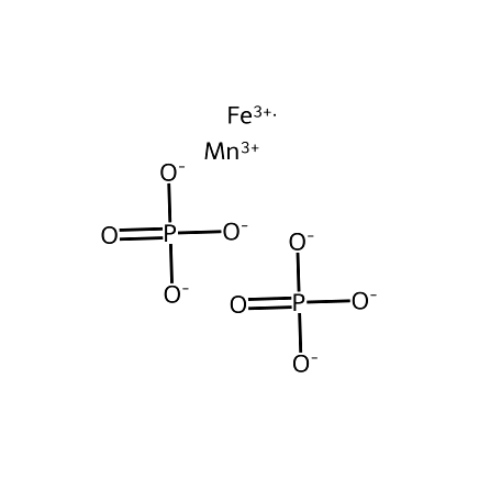 O=P([O-])([O-])[O-].O=P([O-])([O-])[O-].[Fe+3].[Mn+3]